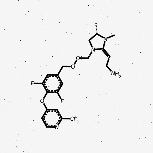 C[C@H]1CN(COOCc2cc(F)c(Oc3ccnc(C(F)(F)F)c3)c(F)c2)/C(=C\CN)N1C